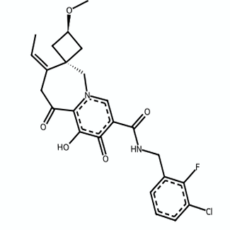 C/C=C1/CC(=O)c2c(O)c(=O)c(C(=O)NCc3cccc(Cl)c3F)cn2C[C@]12C[C@H](OC)C2